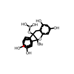 CC(C)(C)C1(c2ccc(O)c(O)c2)Oc2cc(O)cc(O)c2CC1(OB(O)O)c1ccccc1